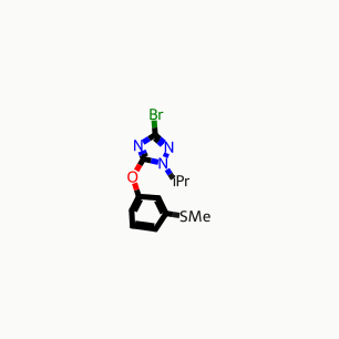 CSc1cccc(Oc2nc(Br)nn2C(C)C)c1